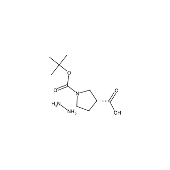 CC(C)(C)OC(=O)N1CC[C@@H](C(=O)O)C1.NN